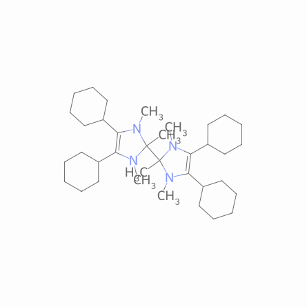 CN1C(C2CCCCC2)=C(C2CCCCC2)N(C)C1(C)C1(C)N(C)C(C2CCCCC2)=C(C2CCCCC2)N1C